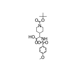 COc1ccc(S(=O)(=O)NC(C(=O)O)C2CCN(C(=O)OC(C)(C)C)CC2)cc1